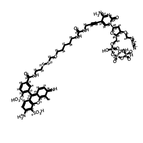 Cc1c2oc3c(S(=O)(=O)O)c(N)ccc3c(-c3cc(C(=O)NCCSSCOCCCCCNC(=O)NCC#Cc4cn([C@H]5CC(OCN=[N+]=[N-])[C@@H](COP(=O)(O)OP(=O)(O)OP(=O)(O)O)O5)c(=O)nc4N)ccc3C(=O)O)c-2ccc1=N